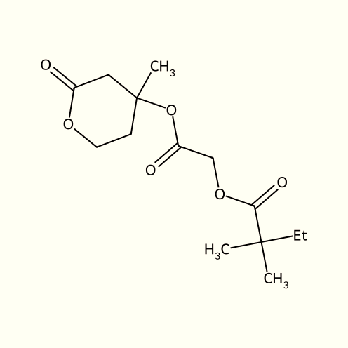 CCC(C)(C)C(=O)OCC(=O)OC1(C)CCOC(=O)C1